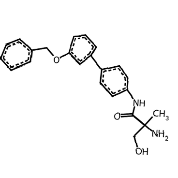 CC(N)(CO)C(=O)Nc1ccc(-c2cccc(OCc3ccccc3)c2)cc1